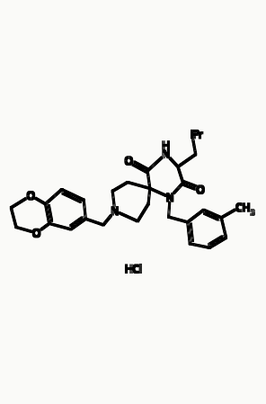 Cc1cccc(CN2C(=O)C(CC(C)C)NC(=O)C23CCN(Cc2ccc4c(c2)OCCO4)CC3)c1.Cl